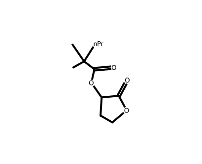 CCCC(C)(C)C(=O)OC1CCOC1=O